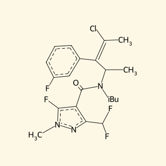 CCC(C)N(C(=O)c1c(C(F)F)nn(C)c1F)C(C)/C(=C(\C)Cl)c1cccc(F)c1